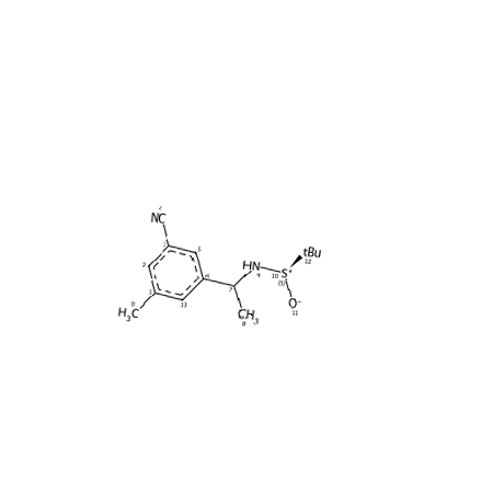 Cc1cc(C#N)cc(C(C)N[S@+]([O-])C(C)(C)C)c1